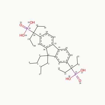 CCCC1(CCC)c2cc(C(CC)(CC)P(=O)(O)O)ccc2-c2ccc(C(CC)(CC)P(=O)(O)O)cc21